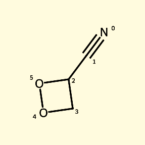 N#CC1COO1